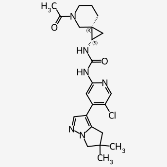 CC(=O)N1CCC[C@@]2(C[C@@H]2NC(=O)Nc2cc(-c3cnn4c3CC(C)(C)C4)c(Cl)cn2)C1